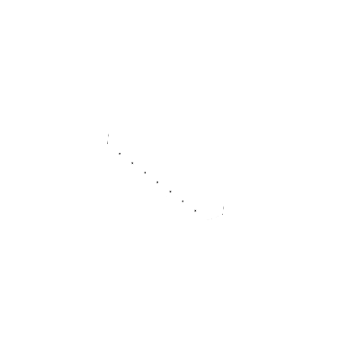 CC(C)CC(F)(F)C(F)(F)C(F)(F)C(F)(F)C(F)(F)C(F)(F)C(F)(F)CF